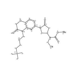 CC(C)(C)OC(=O)N(CC#N)C1CC(=O)N(c2ccc3c(n2)N(COCCS(C)(C)C)C(=O)CO3)C1